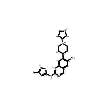 Cc1cc(Nc2ncc3cc(Cl)c(C4CCN([C@@H]5CCOC5)CC4)cc3n2)sn1